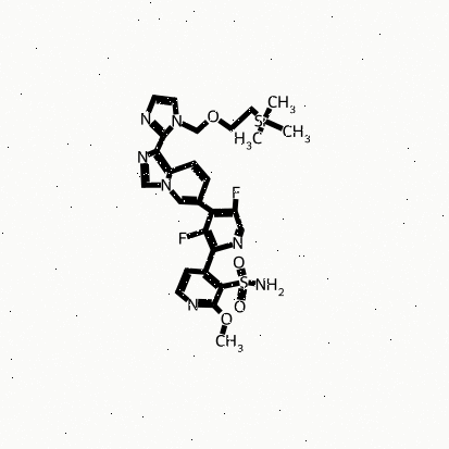 COc1nccc(-c2ncc(F)c(-c3ccc4c(-c5nccn5COCC[Si](C)(C)C)ncn4c3)c2F)c1S(N)(=O)=O